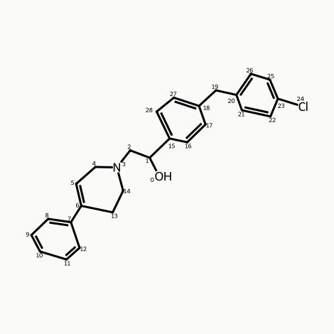 OC(CN1CC=C(c2ccccc2)CC1)c1ccc(Cc2ccc(Cl)cc2)cc1